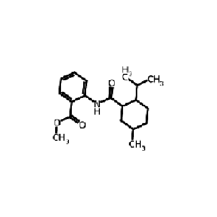 COC(=O)c1ccccc1NC(=O)C1CC(C)CCC1C(C)C